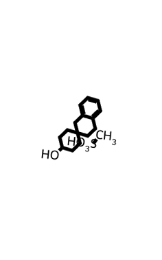 CS(=O)(=O)O.OC1CCC2(CCc3ccccc3C2)CC1